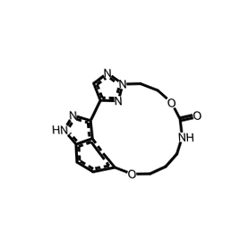 O=C1NCCCOc2ccc3[nH]nc(c3c2)-c2cnn(n2)CCO1